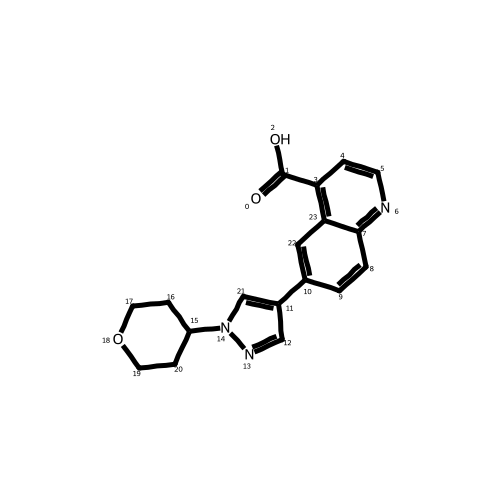 O=C(O)c1ccnc2ccc(-c3cnn(C4CCOCC4)c3)cc12